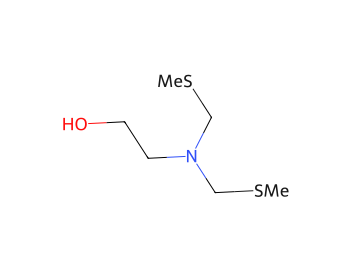 CSCN(CCO)CSC